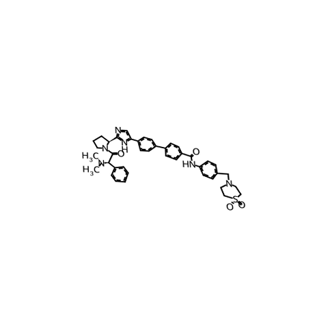 CN(C)[C@@H](C(=O)N1CCC[C@H]1c1ncc(-c2ccc(-c3ccc(C(=O)Nc4ccc(CN5CCS(=O)(=O)CC5)cc4)cc3)cc2)[nH]1)c1ccccc1